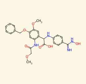 COCC(=O)Nc1cc(OCc2ccccc2)c(OC)cc1C(Nc1ccc(C(=N)NO)cc1)C(=O)O